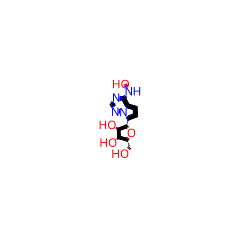 OC[C@H]1O[C@@H](c2ccc3c(NO)ncnn23)[C@H](O)[C@@H]1O